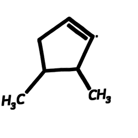 CC1[C]=CCC1C